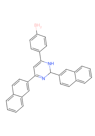 Bc1ccc(C2=CC(c3ccc4ccccc4c3)=NC(c3ccc4ccccc4c3)N2)cc1